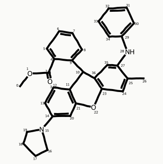 COC(=O)c1ccccc1C1c2ccc(N3CCCC3)cc2Oc2cc(C)c(Nc3ccccc3)cc21